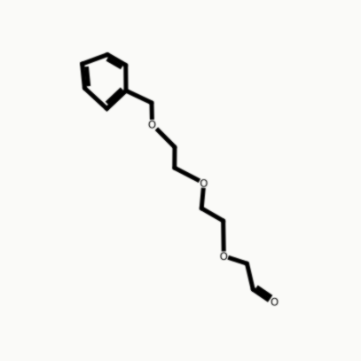 O=CCOCCOCCOCc1ccccc1